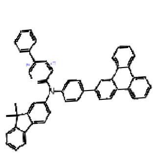 C=C(/C=C\C(=C/C)c1ccccc1)N(c1ccc(-c2ccc3c4ccccc4c4ccccc4c3c2)cc1)c1ccc2c(c1)C(C)(C)c1ccccc1-2